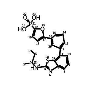 CC[C@H](C)Nc1nc2cccc(-c3cccc(-c4ccc(P(=O)(O)O)o4)c3)c2s1